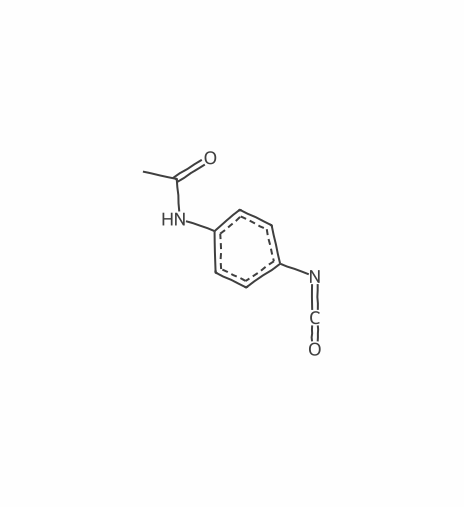 CC(=O)Nc1ccc(N=C=O)cc1